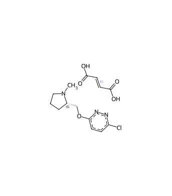 CN1CCC[C@H]1COc1ccc(Cl)nn1.O=C(O)/C=C/C(=O)O